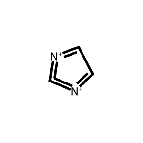 C1=[N+]=CC=[N+]=1